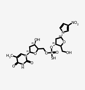 Cc1cn([C@H]2C[C@@H](O)C(COP(=O)(S)O[C@@H]3C[C@H](n4ccc([N+](=O)[O-])c4)OC3CO)O2)c(=O)[nH]c1=O